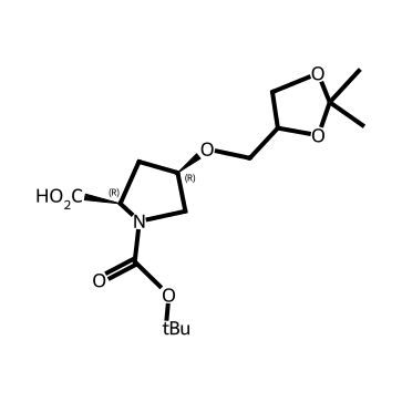 CC(C)(C)OC(=O)N1C[C@H](OCC2COC(C)(C)O2)C[C@@H]1C(=O)O